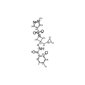 Cc1ccc(C(=O)NCC2(CC3CC3)CN(S(=O)(=O)c3cnn(C)c3)C2)c(Cl)c1